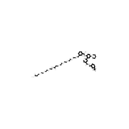 O=C(O)CCOCCOCCOCCNC(=O)CCOCCOCCOCCOCCSCc1cccc(C(=O)Nc2ccc(N3CCCCC3)cc2-c2cc(C(=O)NCc3cccc(C(F)(F)F)c3)ccn2)c1